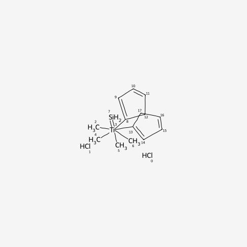 Cl.Cl.[CH3][Ti]([CH3])([CH3])([CH3])(=[SiH2])([C]1=CC=CC1)[C]1=CC=CC1